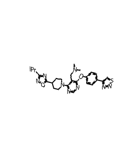 CC(C)c1noc(C2CCN(c3ncnc(Oc4ccc(-c5csnn5)cc4)c3CN(C)C)CC2)n1